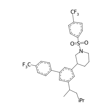 CC(C)CC(C)c1cc(-c2ccc(C(F)(F)F)cc2)cc(C2CCCN(S(=O)(=O)c3ccc(C(F)(F)F)cc3)C2)c1